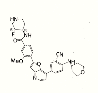 COc1cc(C(=O)N[C@@H]2CCNC[C@H]2F)ccc1-c1cc2nccc(-c3ccc(NC4CCOCC4)c(C#N)c3)c2o1